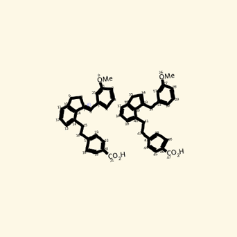 COc1cccc(/C=C2\CCc3cccc(CCc4ccc(C(=O)O)cc4)c32)c1.COc1cccc(CC2=CCc3cccc(CCc4ccc(C(=O)O)cc4)c32)c1